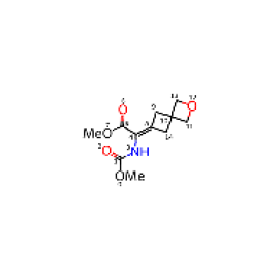 COC(=O)NC(C(=O)OC)=C1CC2(COC2)C1